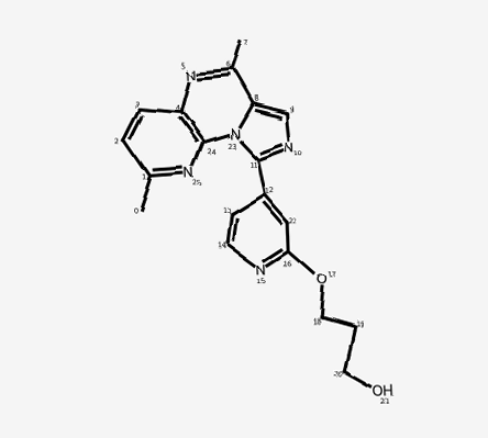 Cc1ccc2nc(C)c3cnc(-c4ccnc(OCCCO)c4)n3c2n1